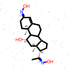 C/C(=N/O)[C@H]1CCC2C3CCC4=C/C(=N\O)CC[C@]4(C)C3[C@@H](O)C[C@@]21C